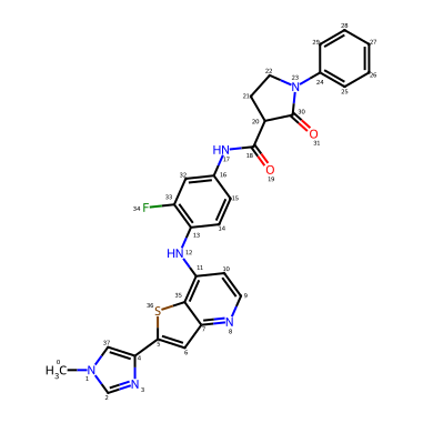 Cn1cnc(-c2cc3nccc(Nc4ccc(NC(=O)C5CCN(c6ccccc6)C5=O)cc4F)c3s2)c1